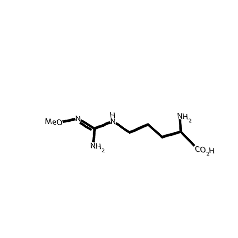 CO/N=C(\N)NCCCC(N)C(=O)O